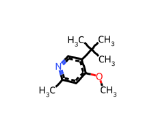 COc1cc(C)ncc1C(C)(C)C